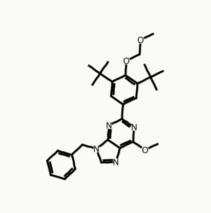 COCOc1c(C(C)(C)C)cc(-c2nc(OC)c3ncn(Cc4ccccc4)c3n2)cc1C(C)(C)C